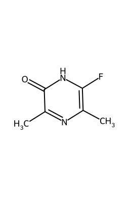 Cc1nc(C)c(=O)[nH]c1F